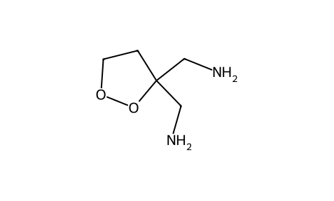 NCC1(CN)CCOO1